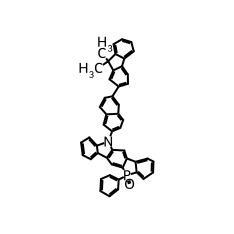 CC1(C)c2ccccc2-c2ccc(-c3ccc4cc(-n5c6ccccc6c6cc7c(cc65)-c5ccccc5P7(=O)c5ccccc5)ccc4c3)cc21